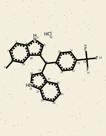 Cc1ccc2[nH]cc([C](c3ccc(C(F)(F)F)cc3)c3c[nH]c4ccccc34)c2c1.Cl